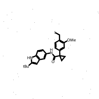 COc1cc(C2(C(=O)Nc3ccc4[nH]c(C(C)(C)C)cc4c3)CC2)ccc1CI